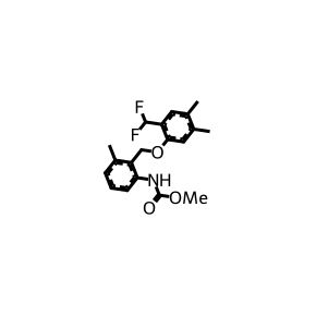 COC(=O)Nc1cccc(C)c1COc1cc(C)c(C)cc1C(F)F